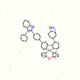 Nc1ccc(-c2cccc3c2-c2cc(-c4ccc(-c5nc6ccccc6n5-c5ccccc5)cc4)ccc2C32c3ccccc3Oc3ccccc32)cc1